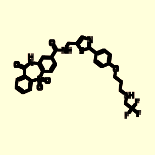 O=C(NCc1cnc(-c2ccc(OCCCNCC(F)(F)F)cc2)s1)c1ccc2c(c1)NC(=O)c1ccccc1S2(=O)=O